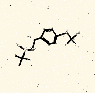 C[C@@H](N[S+]([O-])C(C)(C)C)c1ccc(OC(F)(F)F)cc1